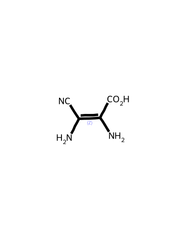 N#C/C(N)=C(/N)C(=O)O